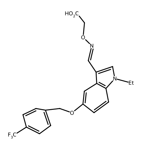 CCn1cc(/C=N/OCC(=O)O)c2cc(OCc3ccc(C(F)(F)F)cc3)ccc21